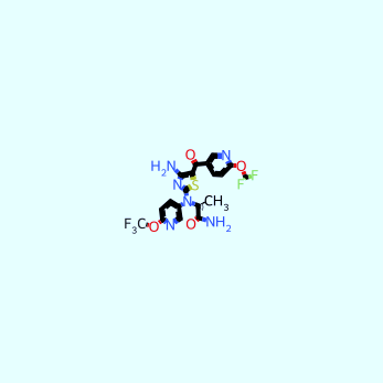 C[C@H](C(N)=O)N(c1ccc(OC(F)(F)F)nc1)c1nc(N)c(C(=O)c2ccc(OC(F)F)nc2)s1